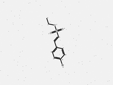 CCOS(=O)(=O)/C=C/c1ccc(Br)cc1